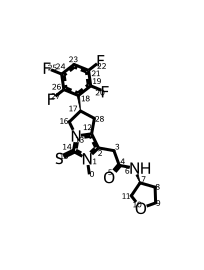 Cn1c(CC(=O)N[C@H]2CCOC2)c2n(c1=S)C[C@@H](c1c(F)c(F)cc(F)c1F)C2